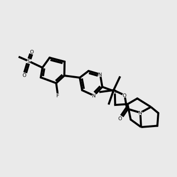 CC(C)(C)OC(=O)N1C2CCC1CC(COc1ncc(-c3ccc(S(C)(=O)=O)cc3F)cn1)C2